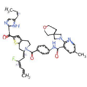 C=C/C=C(F)\C=C1/Cc2sc(C(=O)c3ncc(/C=C\C)[nH]3)cc2CCN1C(=O)c1ccc(NC(=O)c2cc(C)cnc2N2CC3(CCOCC3)C2)cc1